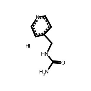 I.NC(=O)NCc1ccncc1